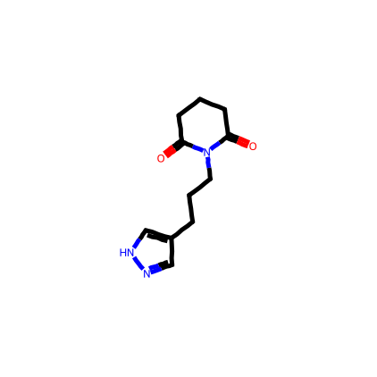 O=C1CCCC(=O)N1CCCc1cn[nH]c1